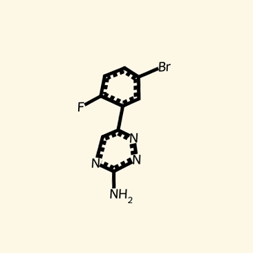 Nc1ncc(-c2cc(Br)ccc2F)nn1